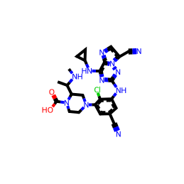 CNC(C)C1CN(c2cc(C#N)cc(Nc3nc(NC4CC4)c4ncc(C#N)n4n3)c2Cl)CCN1C(=O)O